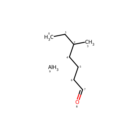 CCC(C)CCCC=O.[AlH3]